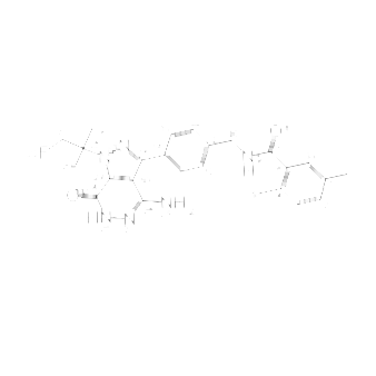 Cc1ccc(C)c(C(=O)NCc2ccc(-c3nn(C(C)(C)CF)c4c(=O)[nH]nc(N)c34)cc2)c1